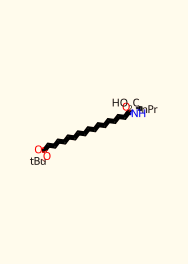 CCCC(NC(=O)CCCCCCCCCCCCCCCCC(=O)OC(C)(C)C)C(=O)O